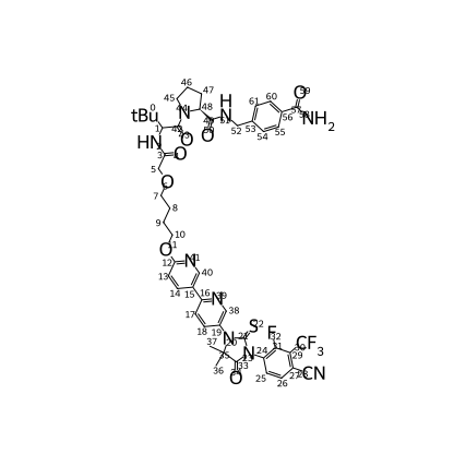 CC(C)(C)C(NC(=O)COCCCCOc1ccc(-c2ccc(N3C(=S)N(c4ccc(C#N)c(C(F)(F)F)c4F)C(=O)C3(C)C)cn2)cn1)C(=O)N1CCC[C@H]1C(=O)NCc1ccc(C(N)=O)cc1